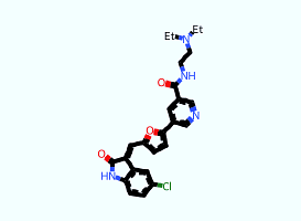 CCN(CC)CCNC(=O)c1cncc(-c2ccc(/C=C3/C(=O)Nc4ccc(Cl)cc43)o2)c1